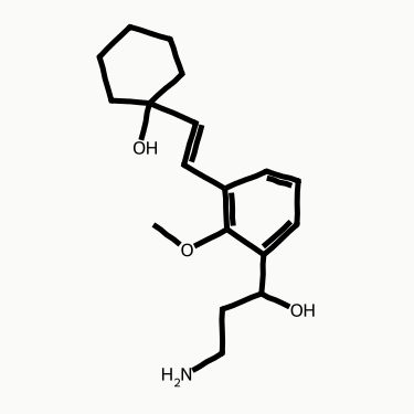 COc1c(/C=C/C2(O)CCCCC2)cccc1C(O)CCN